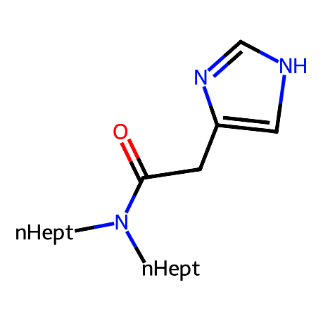 CCCCCCCN(CCCCCCC)C(=O)Cc1c[nH]cn1